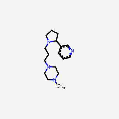 CN1CCN(CCCN2CCCC2c2cccnc2)CC1